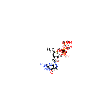 CSS[C@@H](C)C[C@@H]1C[C@H](n2ncc3c(=O)[nH]c(N)nc32)O[C@@H]1COP(=O)(O)OP(=O)(O)OP(=O)(O)O